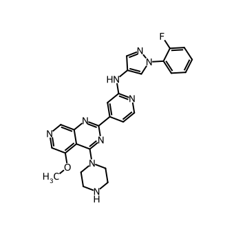 COc1cncc2nc(-c3ccnc(Nc4cnn(-c5ccccc5F)c4)c3)nc(N3CCNCC3)c12